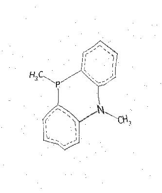 CN1c2ccccc2P(C)c2ccccc21